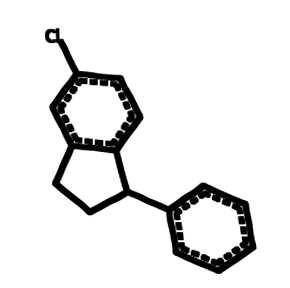 Clc1ccc2c(c1)CCC2c1ccccc1